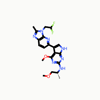 COC[C@@H](C)Nc1nc(OC)c2c(-c3ccc4nc(C)n(CC(F)F)c4n3)c[nH]c2n1